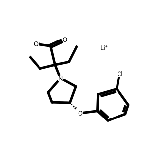 CCC(CC)(C(=O)[O-])N1CC[C@@H](Oc2cccc(Cl)c2)C1.[Li+]